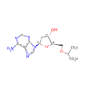 Nc1ncnc2c1ncn2[C@H]1C[C@H](O)[C@@H](COC(C(=O)O)C(=O)O)O1